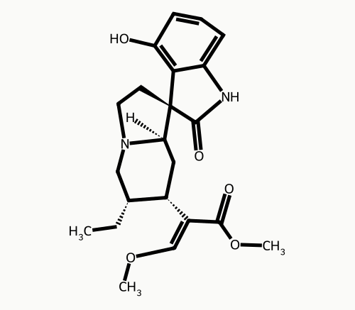 CC[C@@H]1CN2CC[C@@]3(C(=O)Nc4cccc(O)c43)[C@H]2C[C@@H]1/C(=C\OC)C(=O)OC